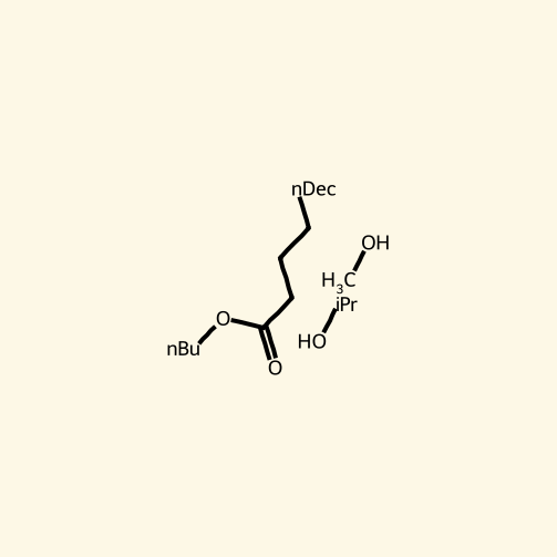 CC(C)O.CCCCCCCCCCCCCC(=O)OCCCC.CO